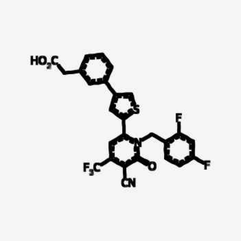 N#Cc1c(C(F)(F)F)cc(-c2cc(-c3cccc(CC(=O)O)c3)cs2)n(Cc2ccc(F)cc2F)c1=O